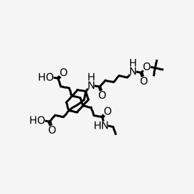 CCNC(=O)CCC12CC3(CCC(=O)O)CC(CCC(=O)O)(C1)CC(NC(=O)CCCCNC(=O)OC(C)(C)C)(C3)C2